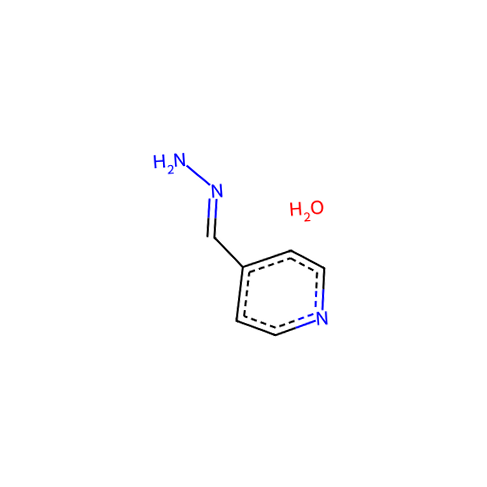 N/N=C/c1ccncc1.O